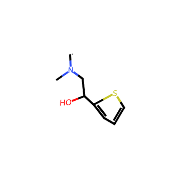 [CH2]N(C)CC(O)c1cccs1